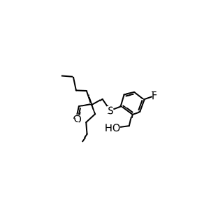 CCCCC(C=O)(CCCC)CSc1ccc(F)cc1CO